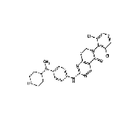 CN(c1ccc(Nc2ncc3c(n2)SCN(c2c(Cl)cccc2Cl)C3=O)cc1)C1CCNCC1